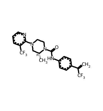 C=C(c1ccc(NC(=O)N2CCN(c3ncccc3C(F)(F)F)C[C@H]2C)cc1)C(F)(F)F